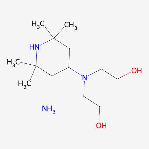 CC1(C)CC(N(CCO)CCO)CC(C)(C)N1.N